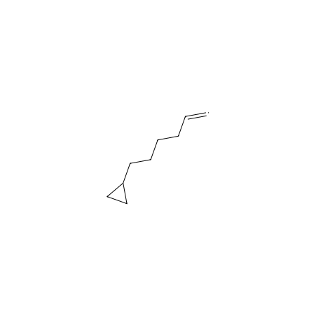 [CH]=CCCCCC1CC1